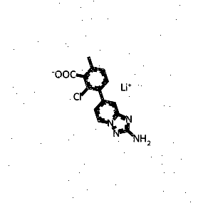 Cc1ccc(-c2ccn3nc(N)nc3c2)c(Cl)c1C(=O)[O-].[Li+]